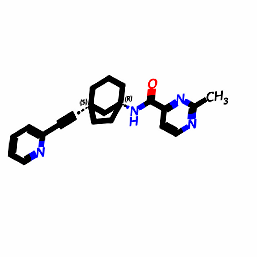 Cc1nccc(C(=O)N[C@]23CCC[C@](C#Cc4ccccn4)(CC2)C3)n1